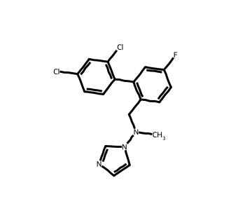 CN(Cc1ccc(F)cc1-c1ccc(Cl)cc1Cl)n1ccnc1